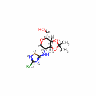 CC1(C)O[C@@H]2[C@H](O1)[C@@H](Nc1nc(Br)ns1)CO[C@@H]2CO